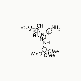 CCOC(=O)c1sc(Nc2nc(NCc3cc(OC)c(OC)c(OC)c3)cc(N3CCC(N)CC3)n2)nc1C